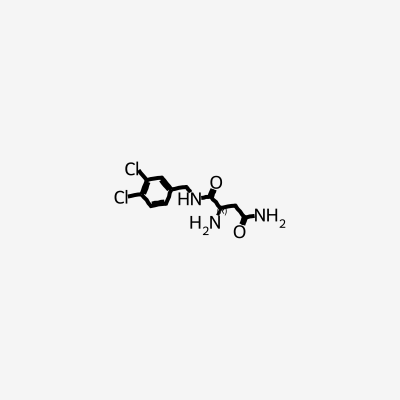 NC(=O)C[C@@H](N)C(=O)NCc1ccc(Cl)c(Cl)c1